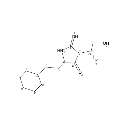 CC(C)[C@@H](CO)N1C(=N)NC(CCC2CCCCC2)C1=O